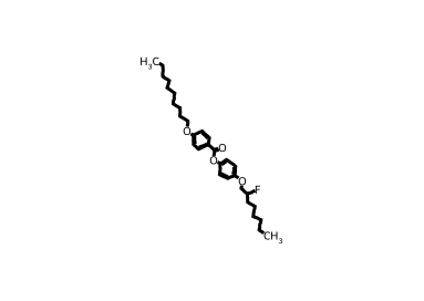 CCCCCCCCCCOc1ccc(C(=O)Oc2ccc(OCC(F)CCCCCC)cc2)cc1